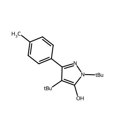 Cc1ccc(-c2nn(C(C)(C)C)c(O)c2C(C)(C)C)cc1